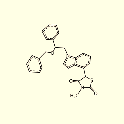 CN1C(=O)SC(c2cccc3c2ccn3CC(OCc2ccccc2)c2ccccc2)C1=O